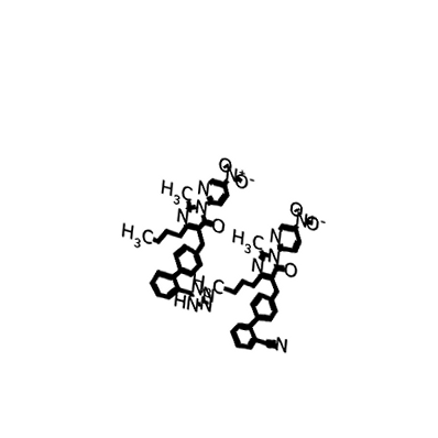 CCCCc1nc(C)n(-c2ccc([N+](=O)[O-])cn2)c(=O)c1Cc1ccc(-c2ccccc2-c2nnn[nH]2)cc1.CCCCc1nc(C)n(-c2ccc([N+](=O)[O-])cn2)c(=O)c1Cc1ccc(-c2ccccc2C#N)cc1